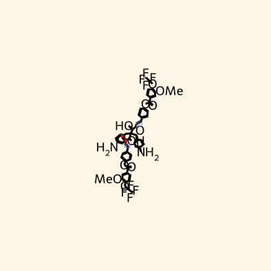 COc1cc(C(=O)Oc2ccc(/C=C/C(=O)C(O)C(Cc3ccc(N)cc3)(Cc3ccc(N)cc3)C(O)C(=O)/C=C/c3ccc(OC(=O)c4ccc(OC(F)(F)C(F)F)c(OC)c4)cc3)cc2)ccc1OC(F)(F)C(F)F